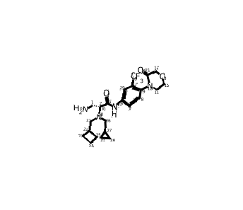 NC[C@H](C(=O)Nc1ccc(N2CCOCC2=O)c(C(F)(F)F)c1)N(CC1CCC1)CC1CC1